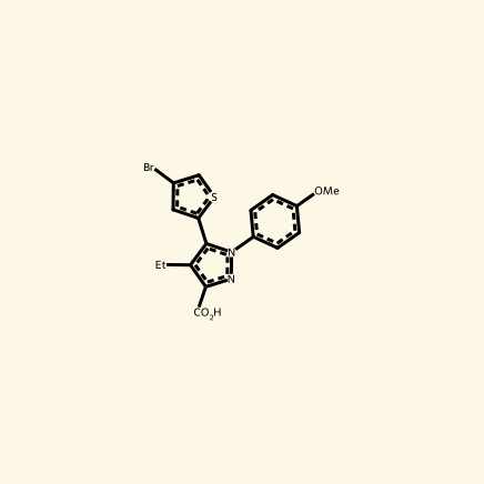 CCc1c(C(=O)O)nn(-c2ccc(OC)cc2)c1-c1cc(Br)cs1